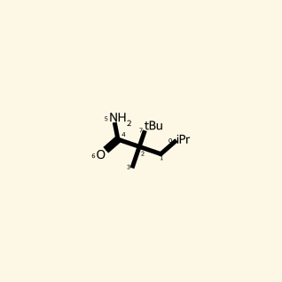 CC(C)CC(C)(C(N)=O)C(C)(C)C